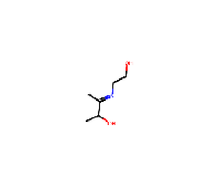 C/C(=N\CCO)C(C)O